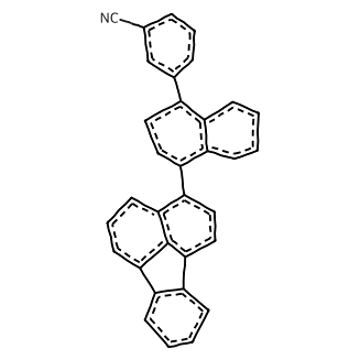 N#Cc1cccc(-c2ccc(-c3ccc4c5c(cccc35)-c3ccccc3-4)c3ccccc23)c1